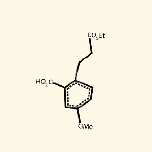 CCOC(=O)CCc1ccc(OC)cc1C(=O)O